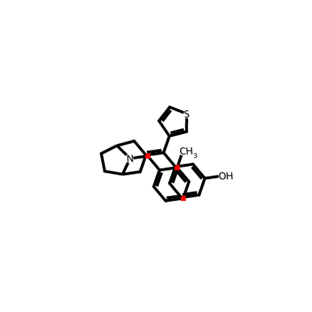 Cc1ccccc1CN1C2CCC1CC(=C(c1ccsc1)c1cccc(O)c1)C2